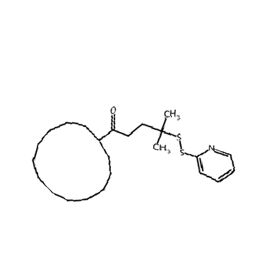 CC(C)(CCC(=O)C1CCCCCCCCCCCC1)SSc1ccccn1